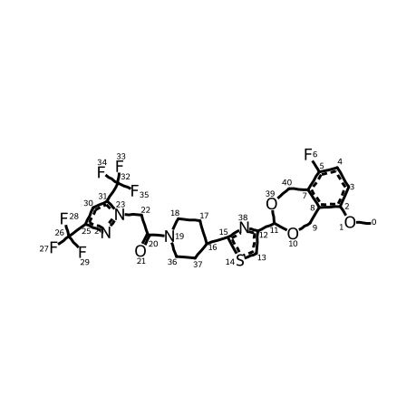 COc1ccc(F)c2c1COC(c1csc(C3CCN(C(=O)Cn4nc(C(F)(F)F)cc4C(F)(F)F)CC3)n1)OC2